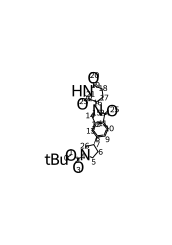 CC(C)(C)OC(=O)N1CC[C@H](c2ccc3c(c2)CN([C@@H]2CCC(=O)NC2=O)C3=O)C1